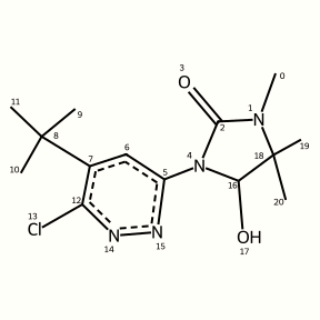 CN1C(=O)N(c2cc(C(C)(C)C)c(Cl)nn2)C(O)C1(C)C